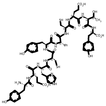 CC(C)[C@H](NC(=O)[C@H](Cc1ccc(O)cc1)NC(=O)[C@H](CS)NC(=O)[C@H](Cc1c[nH]cn1)NC(=O)[C@H](CCC(=O)O)NC(=O)[C@@H](N)Cc1ccc(O)cc1)C(=O)N[C@@H](CS)C(=O)N[C@@H](CCC(=O)O)C(=O)N[C@H](C(=O)N[C@H](Cc1ccc(O)cc1)C(=O)O)[C@@H](C)O